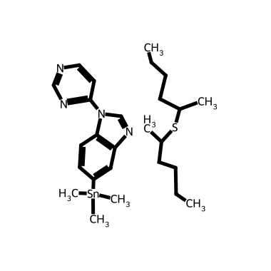 CCCCC(C)SC(C)CCCC.[CH3][Sn]([CH3])([CH3])[c]1ccc2c(c1)ncn2-c1ccncn1